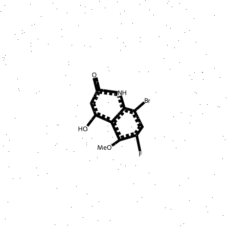 COc1c(F)cc(Br)c2[nH]c(=O)cc(O)c12